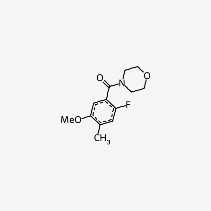 COc1cc(C(=O)N2CCOCC2)c(F)cc1C